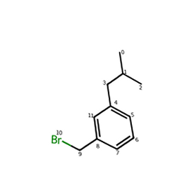 CC(C)Cc1cccc(CBr)c1